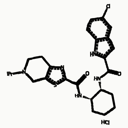 CC(C)N1CCc2nc(C(=O)N[C@H]3CCCC[C@H]3NC(=O)c3cc4cc(Cl)ccc4[nH]3)sc2C1.Cl